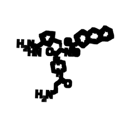 N=C(N)c1cccc(C[C@H](NS(=O)(=O)c2ccc3cc4ccccc4cc3c2)C(=O)N2CCN(C(=O)CCN)CC2)c1